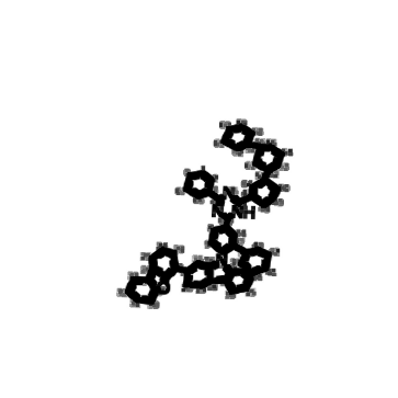 c1ccc(C2=NC(c3ccc(-n4c5ccccc5c5ccc(-c6cccc7c6oc6ccccc67)cc54)c(-c4ccccc4)c3)NC(c3cccc(-c4cccc(-c5ccccc5)c4)c3)=N2)cc1